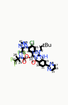 CC(C)(C)CCNC(=N)N(C(=O)c1ccc(-c2ncccn2)cc1)[C@H](COC(=O)NC(C)(C)C(F)F)c1ccc(Cl)c(-n2ncnc2C(F)F)c1